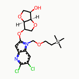 C[Si](C)(C)CCOCn1c(O[C@@H]2CO[C@H]3[C@@H]2OC[C@H]3O)cc2nc(Cl)c(Cl)cc21